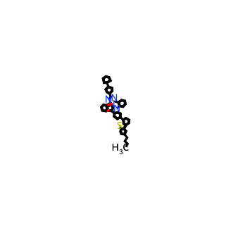 CCCCc1ccc2sc3c(-c4ccc5c6ccccc6n(-c6ccccc6-c6nc(-c7ccccc7)nc(-c7ccc(-c8ccccc8)cc7)n6)c5c4)cccc3c2c1